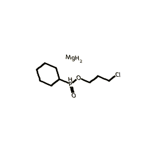 O=[PH](OCCCCl)C1CCCCC1.[MgH2]